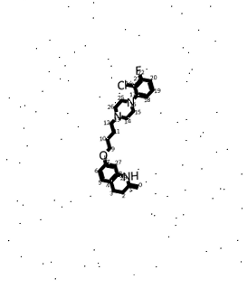 C=C1CCc2ccc(OCCCCN3CCN(c4cccc(F)c4Cl)CC3)cc2N1